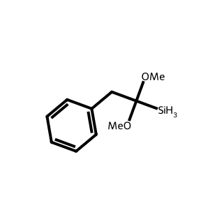 COC([SiH3])(Cc1ccccc1)OC